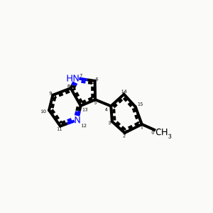 Cc1ccc(-c2c[nH]c3cccnc23)cc1